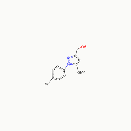 COc1cc(CO)nn1-c1ccc(C(C)C)cc1